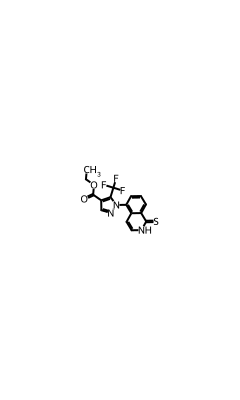 CCOC(=O)c1cnn(-c2cccc3c(=S)[nH]ccc23)c1C(F)(F)F